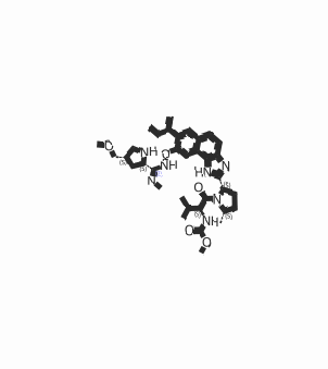 C=CC(=C)c1cc2ccc3nc([C@@H]4CC[C@H](C)N4C(=O)[C@@H](NC(=O)OC)C(C)C)[nH]c3c2cc1ON/C(=N\C)[C@@H]1C[C@H](COC)CN1